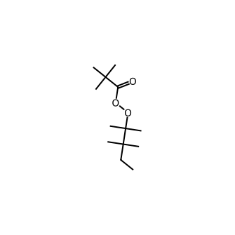 CCC(C)(C)C(C)(C)OOC(=O)C(C)(C)C